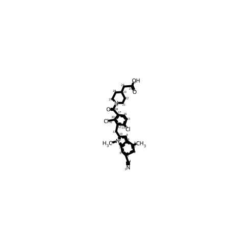 Cc1cc(C#N)cc2c1cc(Cc1c(Cl)ccc(C(=O)N3CCC(CC(=O)O)CC3)c1Cl)n2C